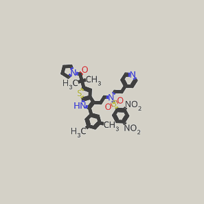 Cc1cc(C)cc(-c2[nH]c3sc(C(C)(C)C(=O)N4CCCC4)cc3c2CCN(CCc2ccncc2)S(=O)(=O)c2ccc([N+](=O)[O-])cc2[N+](=O)[O-])c1